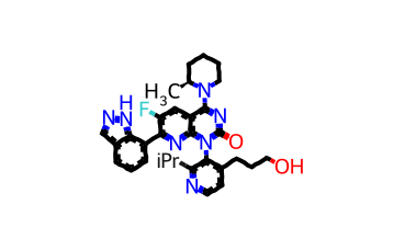 CC(C)c1nccc(CCCO)c1-n1c(=O)nc(N2CCCC[C@@H]2C)c2cc(F)c(-c3cccc4cn[nH]c34)nc21